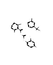 FC(F)(F)c1cccc(Cl)c1.O=C(NC(=O)c1c(F)cccc1F)Nc1ccc(S)cc1F